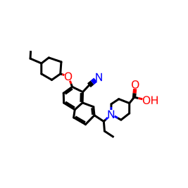 CCC1CCC(Oc2ccc3ccc(C(CC)N4CCC(C(=O)O)CC4)cc3c2C#N)CC1